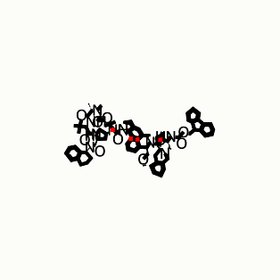 COC[C@@H](c1ccccc1)N(Cc1ccc2c(ccn2C(=O)N[C@H]2C[C@@H](C(=O)N[C@@H]3CCCc4ccccc43)N(C(=O)[C@@H](NC(=O)[C@H](C)N(C)C(=O)OC(C)(C)C)C(C)(C)C)C2)c1)C(=O)[C@@H]1Cc2ccccc2CN1C[C@@H](NC(=O)OCC1c2ccccc2-c2ccccc21)C(C)(C)C